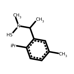 Cc1ccc(C(C)C)c(C(C)N(C)S)c1